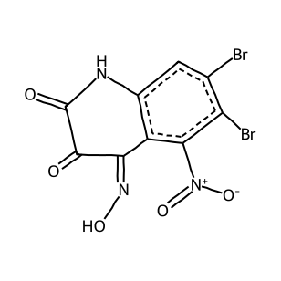 O=C1Nc2cc(Br)c(Br)c([N+](=O)[O-])c2C(=NO)C1=O